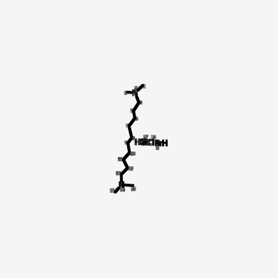 Br.CN(C)CCCCCCCCCCN(C)C.Cl.Cl